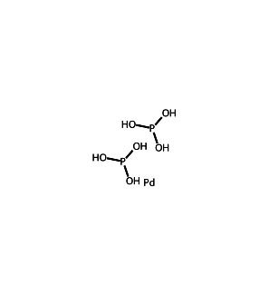 OP(O)O.OP(O)O.[Pd]